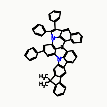 CC1(C)c2ccccc2-c2cc3c4cccc5c4n(c3cc21)-c1cc(-c2ccccc2)cc2c1B5c1c3ccccc3cc3c(-c4ccccc4)c(-c4ccccc4)n-2c13